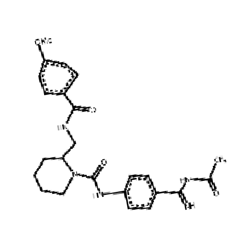 COc1ccc(C(=O)NCC2CCCCN2C(=O)Nc2ccc(C(=N)NC(=O)C(F)(F)F)cc2)cc1